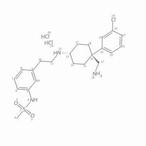 CS(=O)(=O)Nc1cccc(CCN[C@H]2CC[C@@](CN)(c3cccc(Cl)c3)CC2)c1.Cl.Cl